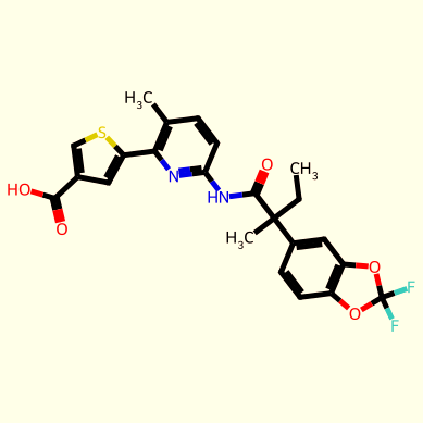 CCC(C)(C(=O)Nc1ccc(C)c(-c2cc(C(=O)O)cs2)n1)c1ccc2c(c1)OC(F)(F)O2